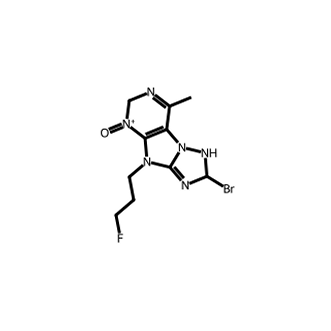 CC1=NC[N+](=O)C2=C1N1NC(Br)N=C1N2CCCF